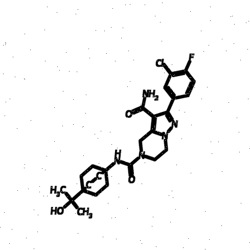 CC(C)(O)C12CCC(NC(=O)N3CCn4nc(-c5ccc(F)c(Cl)c5)c(C(N)=O)c4C3)(CC1)CC2